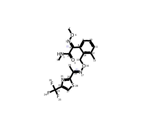 CNC(=O)/C(=N/OC)c1cccc(C)c1CO/N=C(\C)c1nc(C(F)(F)F)cs1